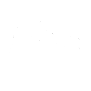 CC1Cc2[nH]nc(C3CCCC3)c2CN1C(=O)Nc1ccnc(Br)c1F